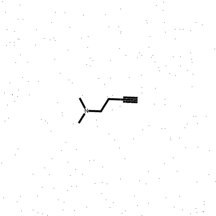 C#CCCN(C)C